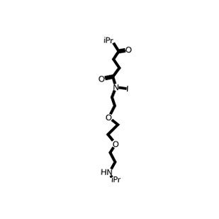 CC(C)NCCOCCOCCN(I)C(=O)CCC(=O)C(C)C